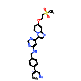 CN/C=C(\C=N)c1ccc(CNc2cc(-c3cnc4cc(OCCS(C)(=O)=O)ccn34)ncn2)cc1